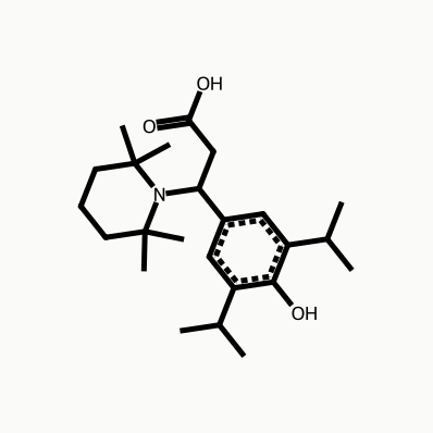 CC(C)c1cc(C(CC(=O)O)N2C(C)(C)CCCC2(C)C)cc(C(C)C)c1O